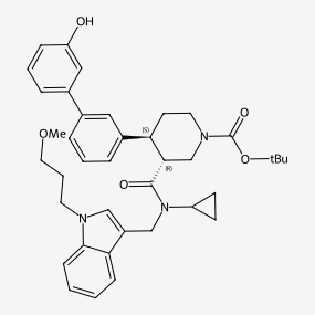 COCCCn1cc(CN(C(=O)[C@H]2CN(C(=O)OC(C)(C)C)CC[C@@H]2c2cccc(-c3cccc(O)c3)c2)C2CC2)c2ccccc21